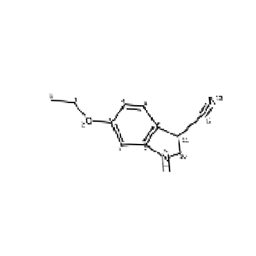 CCOc1ccc2c(c1)NCC2C#N